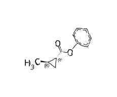 C[C@@H]1C[C@H]1C(=O)Oc1ccccc1